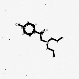 CCCN(CCC)CC(=O)c1ccc(Cl)cc1